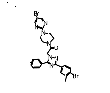 Cc1cc(-c2nc(-c3ccccc3)n(CC(=O)N3CCN(c4ncc(Br)cn4)CC3)n2)ccc1Br